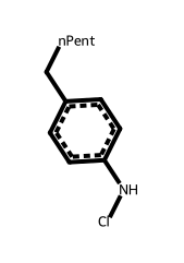 CCCCCCc1ccc(NCl)cc1